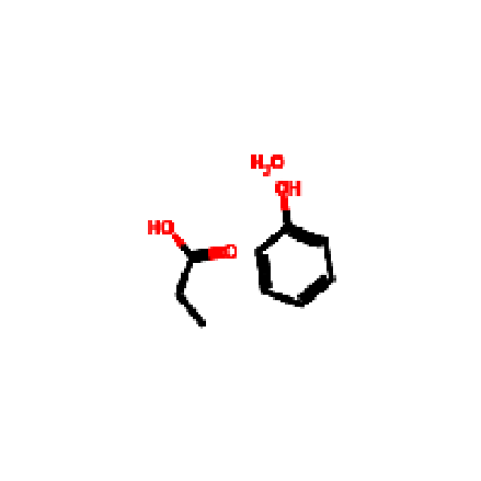 CCC(=O)O.O.Oc1ccccc1